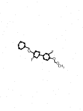 COCOc1ccc(-c2ccc(OCc3ccccc3)c(F)c2)cc1F